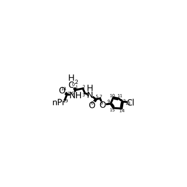 C=C(CCNC(=O)COc1ccc(Cl)cc1)NC(=O)CCC